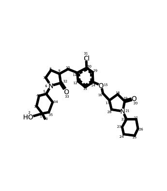 CC1(O)CCC(N2CCC(Cc3ccc(OCC4CC(=O)N(C5CCCCC5)C4)cc3Cl)C2=O)CC1